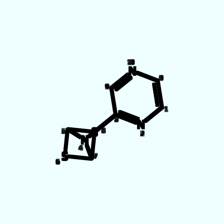 c1cnc(N2C3SC2S3)cn1